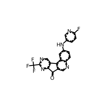 O=C1c2cnc3ccc(Nc4ccc(F)nc4)cc3c2-c2cnc(C(F)(F)F)nc21